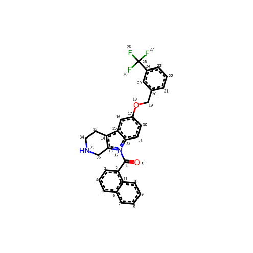 O=C(c1cccc2ccccc12)n1c2c(c3cc(OCc4cccc(C(F)(F)F)c4)ccc31)CCNC2